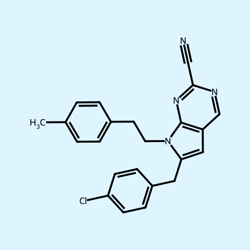 Cc1ccc(CCn2c(Cc3ccc(Cl)cc3)cc3cnc(C#N)nc32)cc1